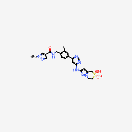 Cc1cc(-c2cc(Nc3cc4n(n3)CCS(O)(O)C4)ncn2)ccc1CNC(=O)c1cnn(C(C)(C)C)c1